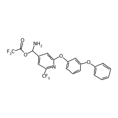 NC(OC(=O)C(F)(F)F)c1cc(Oc2cccc(Oc3ccccc3)c2)nc(C(F)(F)F)c1